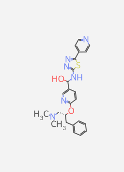 CN(C)C[C@@H](Cc1ccccc1)Oc1ccc(C(O)Nc2nnc(-c3ccncc3)s2)cn1